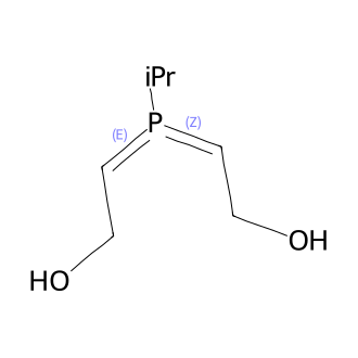 CC(C)/P(=C\CO)=C/CO